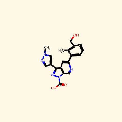 Cc1c(CO)cccc1-c1cc2c(-c3cnn(C)c3)nn(C(=O)O)c2cn1